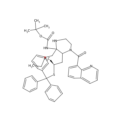 CCCCC1(NC(=O)OC(C)(C)C)NCCN(C(=O)c2cccc3cccnc23)C1C[C@H](C)SC(c1ccccc1)(c1ccccc1)c1ccccc1